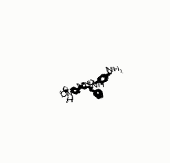 COC(=O)Nc1ccc(-c2cc(C(Cc3ccccc3)NC(=O)C3CCC(CN)CC3)ncn2)cc1